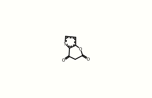 O=C1CC(=O)c2sccc2O1